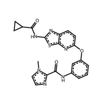 Cn1ccnc1C(=O)Nc1cccc(Oc2ccc3nc(NC(=O)C4CC4)sc3n2)c1